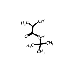 C[C@@H](O)C(=O)NC(C)(C)C